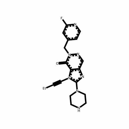 CCC#Cn1c(N2CCNCC2)nc2cnn(Cc3ccnc(F)c3)c(=O)c21